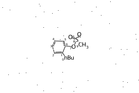 CCCCc1ccccc1OS(C)(=O)=O